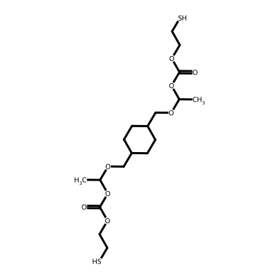 CC(OCC1CCC(COC(C)OC(=O)OCCS)CC1)OC(=O)OCCS